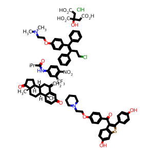 C=C1C[C@@H]2[C@H](CC[C@]3(C)C(=O)CC[C@@H]23)[C@@]2(C)C=CC(=O)C=C12.CC(C)C(=O)Nc1ccc([N+](=O)[O-])c(C(F)(F)F)c1.CN(C)CCOc1ccc(/C(=C(/CCCl)c2ccccc2)c2ccccc2)cc1.Cl.O=C(O)CC(O)(CC(=O)O)C(=O)O.O=C(c1ccc(OCCN2CCCCC2)cc1)c1c(-c2ccc(O)cc2)sc2cc(O)ccc12